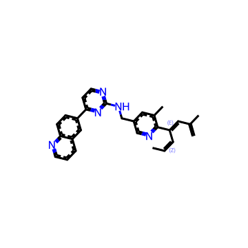 C=C(C)/C=C(\C=C/C)c1ncc(CNc2nccc(-c3ccc4ncccc4c3)n2)cc1C